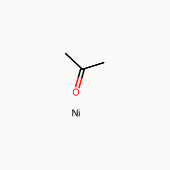 CC(C)=O.[Ni]